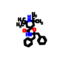 CC1(C)CC2(CC(C)(C)N1)OC(Cc1ccccc1)(Cc1ccccc1)NC2=O